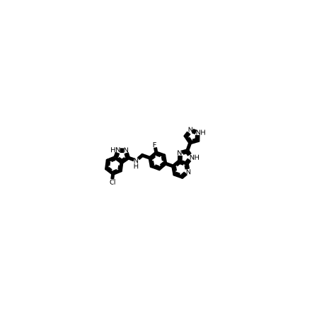 Fc1cc(-c2ccnc3[nH]c(-c4cn[nH]c4)nc23)ccc1CNc1n[nH]c2ccc(Cl)cc12